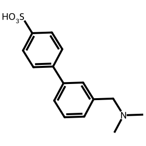 CN(C)Cc1cccc(-c2ccc(S(=O)(=O)O)cc2)c1